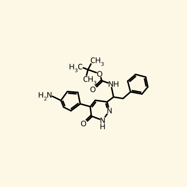 CC(C)(C)OC(=O)NC(Cc1ccccc1)c1cc(-c2ccc(N)cc2)c(=O)[nH]n1